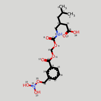 CC(C)CC(CNC(=O)OCOC(=O)c1cccc(CON(O)O)c1)CC(=O)O